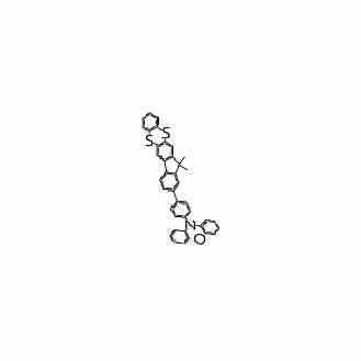 CC1(C)c2cc(-c3ccc(N4c5ccccc5Oc5ccccc54)cc3)ccc2-c2cc3c(cc21)Sc1ccccc1S3